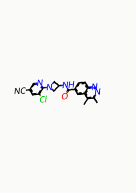 Cc1nnc2ccc(C(=O)NC3CN(c4ncc(C#N)cc4Cl)C3)cc2c1C